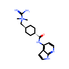 C[N+](C)(C[C@H]1CC[C@H](C(=O)Nc2ccnc3[nH]ccc23)CC1)C(=N)N